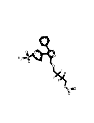 NS(=O)(=O)c1ccc(-c2c(-c3ccccc3)noc2COCC(F)(F)C(F)(F)CO[N+](=O)[O-])cc1